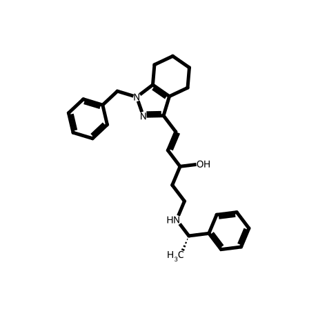 C[C@H](NCCC(O)/C=C/c1nn(Cc2ccccc2)c2c1CCCC2)c1ccccc1